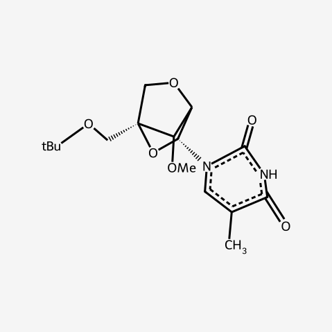 COC1C2OC[C@]1(COC(C)(C)C)O[C@H]2n1cc(C)c(=O)[nH]c1=O